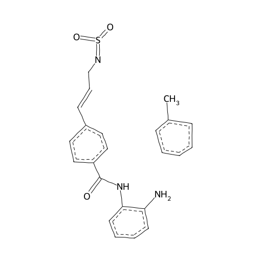 Cc1ccccc1.Nc1ccccc1NC(=O)c1ccc(C=CCN=S(=O)=O)cc1